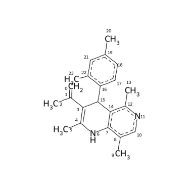 C=C(C)C1=C(C)Nc2c(C)cnc(C)c2C1c1ccc(C)cc1C